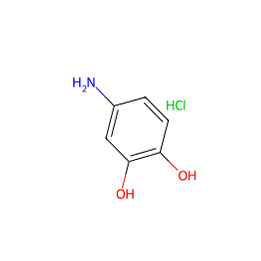 Cl.Nc1ccc(O)c(O)c1